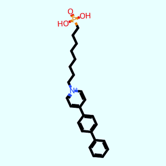 O=P(O)(O)CCCCCCCC[n+]1ccc(-c2ccc(-c3ccccc3)cc2)cc1